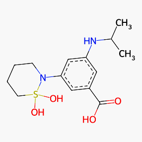 CC(C)Nc1cc(C(=O)O)cc(N2CCCCS2(O)O)c1